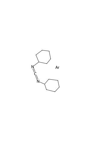 C(=NC1CCCCC1)=NC1CCCCC1.[Ar]